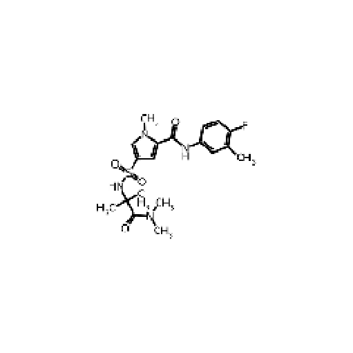 Cc1cc(NC(=O)c2cc(S(=O)(=O)NC(C)(C)C(=O)N(C)C)cn2C)ccc1F